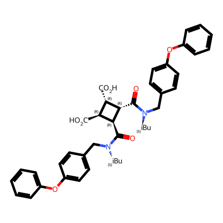 CC[C@H](C)N(Cc1ccc(Oc2ccccc2)cc1)C(=O)[C@H]1[C@@H](C(=O)O)[C@H](C(=O)O)[C@@H]1C(=O)N(Cc1ccc(Oc2ccccc2)cc1)[C@@H](C)CC